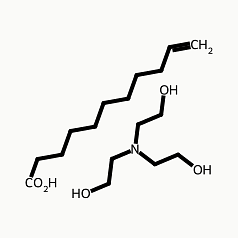 C=CCCCCCCCCC(=O)O.OCCN(CCO)CCO